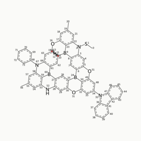 CSN1c2cc3c(cc2B2c4ccccc4Oc4cc(C)cc1c42)B1c2cc4c(cc2Oc2cc(-n5c6ccccc6c6ccccc65)cc(c21)O3)Nc1cc(C)cc2c1B4c1ccccc1N2c1ccccc1